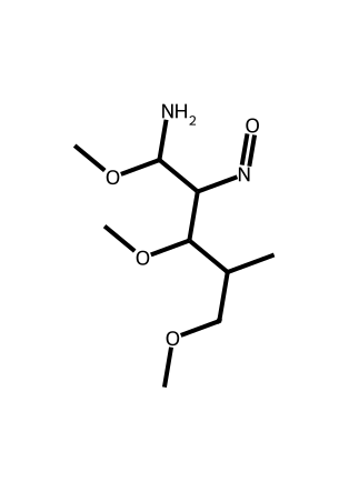 COCC(C)C(OC)C(N=O)C(N)OC